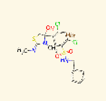 Br.CN=C1SCC(O)(c2cc(S(=O)(=O)NCc3ccccc3)c(Cl)cc2Cl)N1C